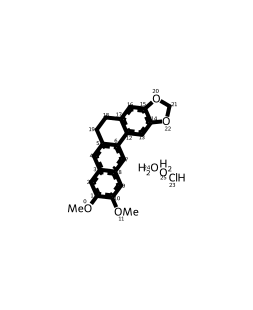 COc1cc2cc3c(cc2cc1OC)-c1cc2c(cc1CC3)OCO2.Cl.O.O